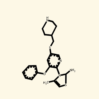 CC1=CSC(N)N1c1ncc(SCC2CCNCC2)cc1Oc1ccccc1